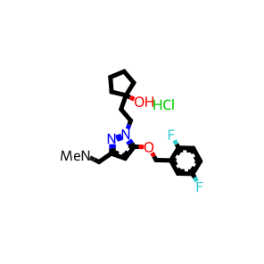 CNCc1cc(OCc2cc(F)ccc2F)n(CCC2(O)CCCC2)n1.Cl